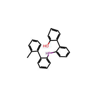 Cc1ccccc1-c1ccccc1Pc1ccccc1-c1ccccc1O